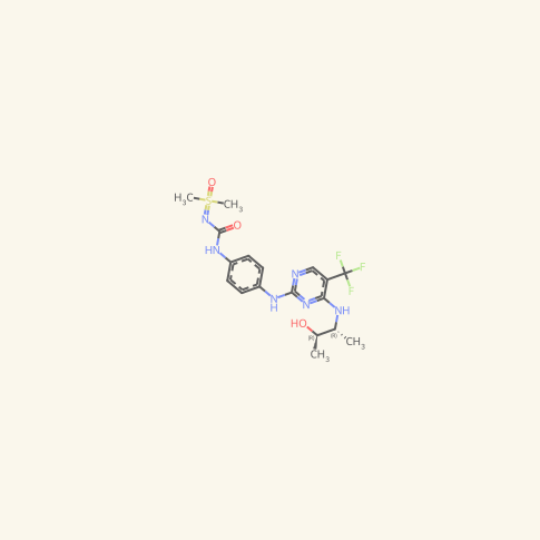 C[C@@H](O)[C@@H](C)Nc1nc(Nc2ccc(NC(=O)N=S(C)(C)=O)cc2)ncc1C(F)(F)F